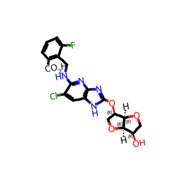 O=C(O)c1cccc(F)c1CNc1nc2nc(O[C@@H]3CO[C@H]4[C@@H]3OC[C@H]4O)[nH]c2cc1Cl